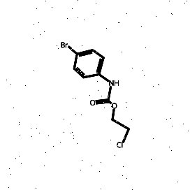 O=C(Nc1ccc(Br)cc1)OCCCl